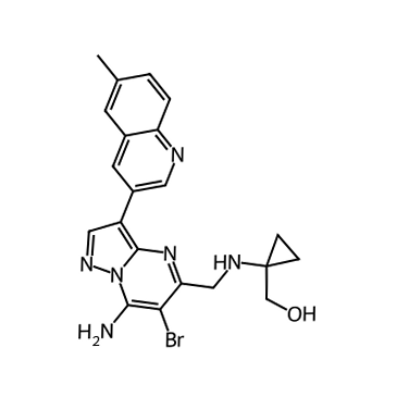 Cc1ccc2ncc(-c3cnn4c(N)c(Br)c(CNC5(CO)CC5)nc34)cc2c1